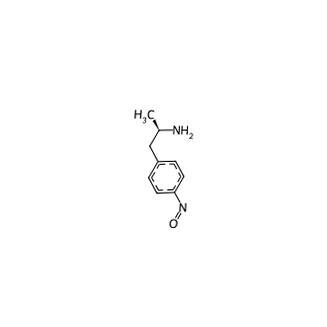 C[C@@H](N)Cc1ccc(N=O)cc1